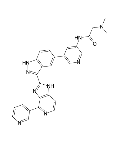 CN(C)CC(=O)Nc1cncc(-c2ccc3[nH]nc(-c4nc5c(-c6cccnc6)nccc5[nH]4)c3c2)c1